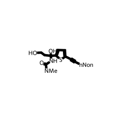 CCCCCCCCCC#Cc1ccc(C(O)(CCO)NC(=O)NC)s1